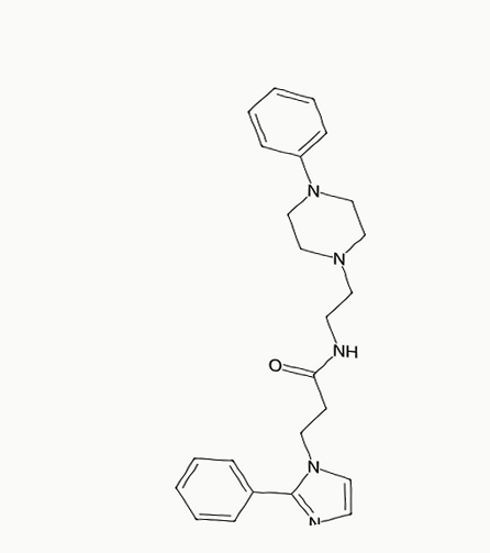 O=C(CCn1ccnc1-c1ccccc1)NCCN1CCN(c2ccccc2)CC1